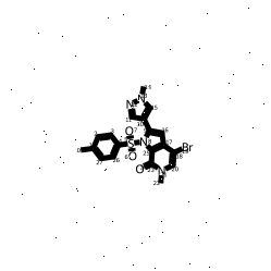 Cc1ccc(S(=O)(=O)n2c(-c3cnn(C)c3)cc3c(Br)cn(C)c(=O)c32)cc1